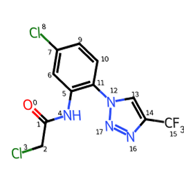 O=C(CCl)Nc1cc(Cl)ccc1-n1cc(C(F)(F)F)nn1